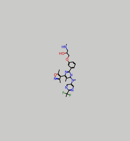 CNCC(O)COc1cccc(-c2nc(-c3c(C)noc3C)c(C)c(N(C)c3cnc(C(C)(F)F)nc3)n2)c1